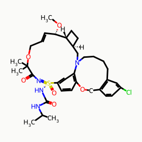 CO[C@H]1/C=C/COC(C)(C)C(=O)N=[S@@](=O)(NC(=O)NC(C)C)c2ccc3c(c2)N(CCCCc2cc(Cl)ccc2CO3)C[C@@H]2CC[C@H]21